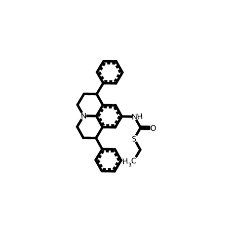 CCSC(=O)Nc1cc2c3c(c1)C(c1ccccc1)CCN3CCC2c1ccccc1